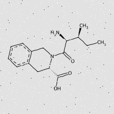 CC[C@H](C)[C@H](N)C(=O)N1Cc2ccccc2C[C@H]1C(=O)O